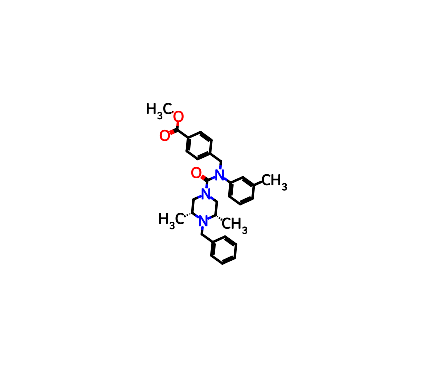 COC(=O)c1ccc(CN(C(=O)N2C[C@@H](C)N(Cc3ccccc3)[C@@H](C)C2)c2cccc(C)c2)cc1